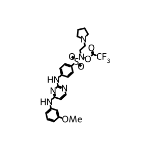 COc1cccc(Nc2ccnc(Nc3ccc(S(=O)(=O)N(CCN4CCCC4)OC(=O)C(F)(F)F)cc3)n2)c1